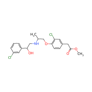 COC(=O)Cc1ccc(OCC(C)NCC(O)c2cccc(Cl)c2)c(Cl)c1